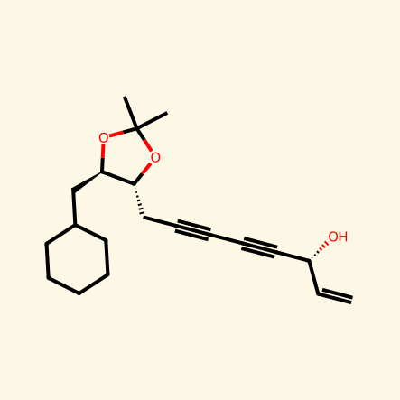 C=C[C@@H](O)C#CC#CC[C@H]1OC(C)(C)O[C@@H]1CC1CCCCC1